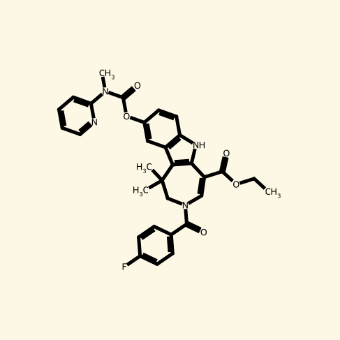 CCOC(=O)C1=CN(C(=O)c2ccc(F)cc2)CC(C)(C)c2c1[nH]c1ccc(OC(=O)N(C)c3ccccn3)cc21